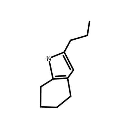 CCCC1=CC2=C(CCCC2)[N]1